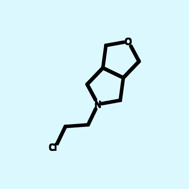 ClCCN1CC2COCC2C1